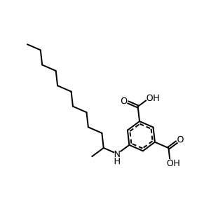 CCCCCCCCCCC(C)Nc1cc(C(=O)O)cc(C(=O)O)c1